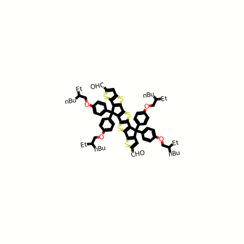 CCCCC(CC)COc1ccc(C2(c3ccc(OCC(CC)CCCC)cc3)c3cc(C=O)sc3-c3sc4c5c(sc4c32)-c2sc3cc(C=O)sc3c2C5(c2ccc(OCC(CC)CCCC)cc2)c2ccc(OCC(CC)CCCC)cc2)cc1